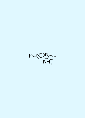 Cc1ccc2c(N)c3c(nc2c1)CC1C=C(CCI)CC3C1